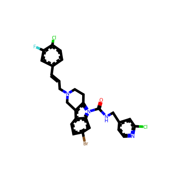 O=C(NCc1ccnc(Cl)c1)n1c2c(c3ccc(Br)cc31)CN(C/C=C/c1ccc(Cl)c(F)c1)CC2